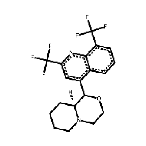 FC(F)(F)c1cc(C2OCCN3CCCC[C@@H]23)c2cccc(C(F)(F)F)c2n1